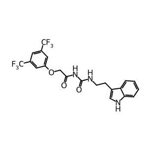 O=C(COc1cc(C(F)(F)F)cc(C(F)(F)F)c1)NC(=O)NCCc1c[nH]c2ccccc12